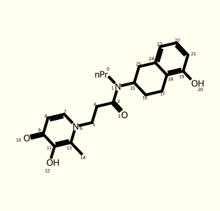 CCCN(C(=O)CCn1ccc(=O)c(O)c1C)C1CCc2c(O)cccc2C1